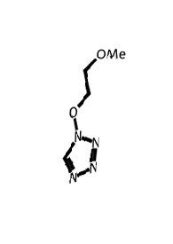 COCCOn1cnnn1